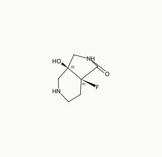 O=C1NC[C@@]2(O)CNCC[C@@]12F